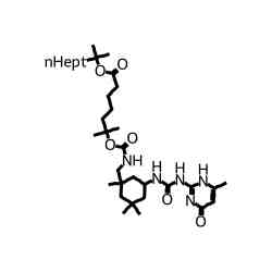 CCCCCCCC(C)(C)OC(=O)CCCCC(C)(C)OC(=O)NCC1(C)CC(NC(=O)Nc2nc(=O)cc(C)[nH]2)CC(C)(C)C1